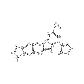 Nc1nc(-c2ccco2)c2nnn(Cc3cc4cc[nH]c4cc3F)c2n1